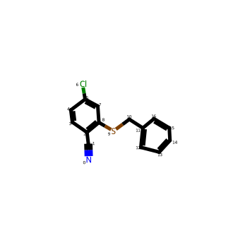 N#Cc1ccc(Cl)cc1SCc1ccccc1